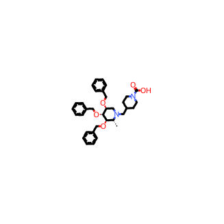 C[C@@H]1[C@@H](OCc2ccccc2)[C@H](OCc2ccccc2)[C@@H](OCc2ccccc2)CN1CC1CCN(C(=O)O)CC1